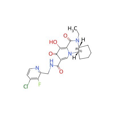 CCN1C(=O)c2c(O)c(=O)c(C(=O)NCc3nccc(Cl)c3F)cn2[C@H]2CCCC[C@H]21